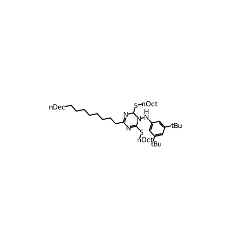 CCCCCCCCCCCCCCCCCCC1=NC(SCCCCCCCC)N(Nc2cc(C(C)(C)C)cc(C(C)(C)C)c2)C(SCCCCCCCC)=N1